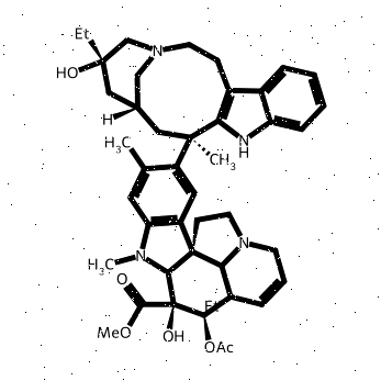 CC[C@]1(O)C[C@@H]2CN(CCc3c([nH]c4ccccc34)[C@@](C)(c3cc4c(cc3C)N(C)C3[C@]45CCN4CC=C[C@](CC)(C45)[C@@H](OC(C)=O)[C@]3(O)C(=O)OC)C2)C1